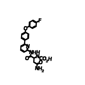 NC(=O)CC(NC(=O)O)C(=O)Nc1cccc(-c2ccc(Oc3ccc(F)cc3)cc2)n1